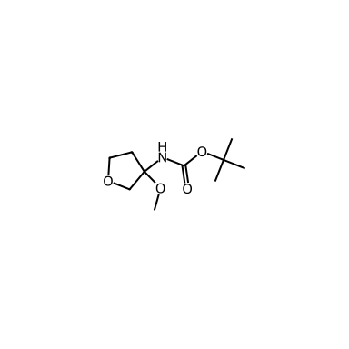 COC1(NC(=O)OC(C)(C)C)CCOC1